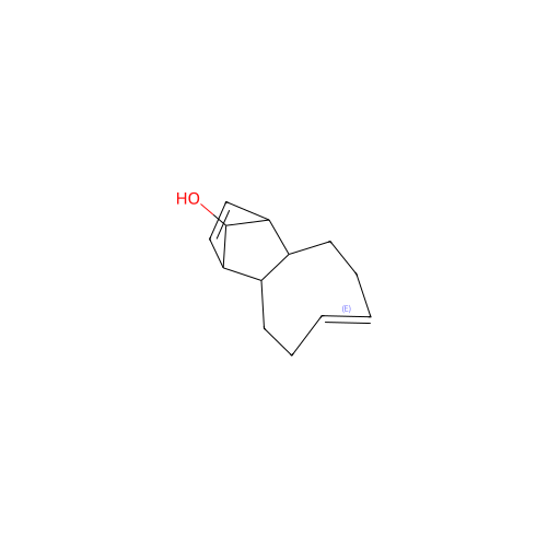 OC1C2C=CC1C1CC/C=C/CCC21